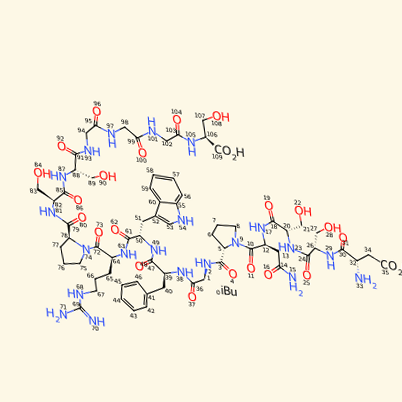 CC[C@H](C)[C@H](NC(=O)[C@@H]1CCCN1C(=O)[C@H](CC(N)=O)NC(=O)[C@H](CO)NC(=O)[C@H](CO)NC(=O)[C@@H](N)CC(=O)O)C(=O)N[C@@H](Cc1ccccc1)C(=O)N[C@@H](Cc1c[nH]c2ccccc12)C(=O)N[C@@H](CCCNC(=N)N)C(=O)N1CCC[C@H]1C(=O)N[C@@H](CO)C(=O)N[C@@H](CO)C(=O)NCC(=O)NCC(=O)NCC(=O)N[C@@H](CO)C(=O)O